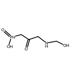 O=C(CNCO)C[PH](=O)O